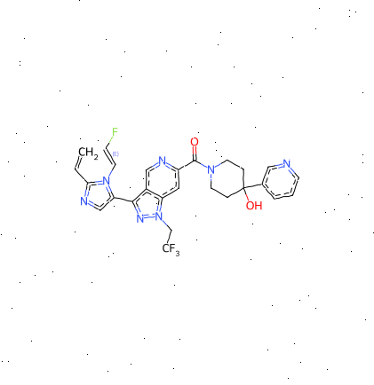 C=Cc1ncc(-c2nn(CC(F)(F)F)c3cc(C(=O)N4CCC(O)(c5cccnc5)CC4)ncc23)n1/C=C/F